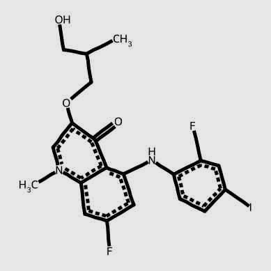 CC(CO)COc1cn(C)c2cc(F)cc(Nc3ccc(I)cc3F)c2c1=O